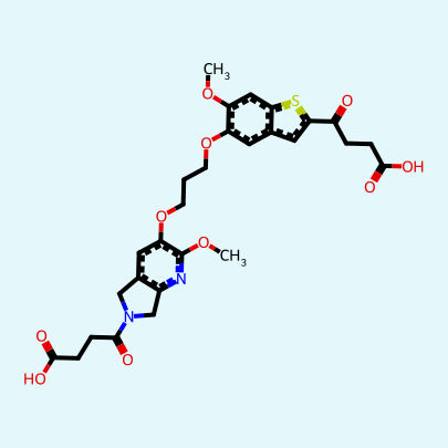 COc1cc2sc(C(=O)CCC(=O)O)cc2cc1OCCCOc1cc2c(nc1OC)CN(C(=O)CCC(=O)O)C2